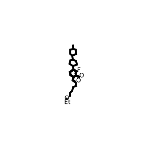 CCOCCCCCc1cc2ccc(C3CCC(C4CCC(C)CC4)CC3)c(F)c2c(=O)o1